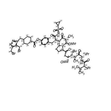 CC[C@H](C)[C@@H]([C@@H](CC(=O)N1CCC[C@H]1[C@H](OC)[C@@H](C)C(=O)N[C@@H](Cc1ccc(OC(=O)N2CCC(Cn3nnc(CBr)c3CBr)CC2)cc1)C(=O)NS(=O)(=O)C1CC1)OC)N(C)C(=O)[C@@H](NC(=O)C(C(C)C)N(C)C)C(C)C